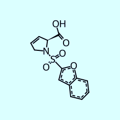 O=C(O)[C@@H]1C=CCN1S(=O)(=O)c1cc2ccccc2o1